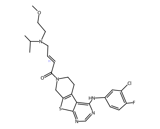 COCCN(C/C=C/C(=O)N1CCc2c(sc3ncnc(Nc4ccc(F)c(Cl)c4)c23)C1)C(C)C